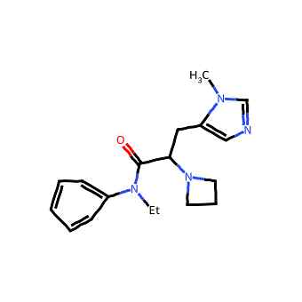 CCN(C(=O)C(Cc1cncn1C)N1CCC1)c1ccccc1